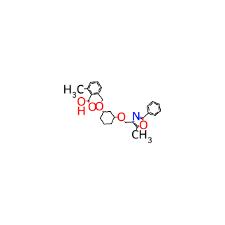 Cc1cccc(CO[C@@H]2CCC[C@H](OCc3nc(-c4ccccc4)oc3C)C2)c1C(=O)O